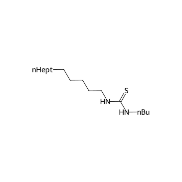 CCCCCCCCCCCCNC(=S)NCCCC